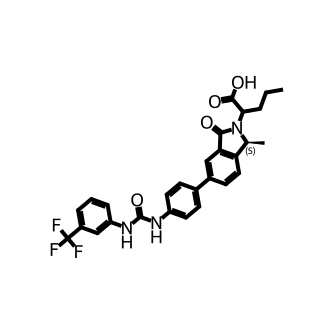 CCCC(C(=O)O)N1C(=O)c2cc(-c3ccc(NC(=O)Nc4cccc(C(F)(F)F)c4)cc3)ccc2[C@@H]1C